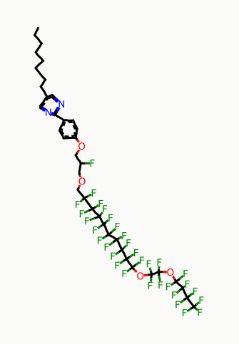 CCCCCCCCc1cnc(-c2ccc(OCC(F)COCC(F)(F)C(F)(F)C(F)(F)C(F)(F)C(F)(F)C(F)(F)C(F)(F)C(F)(F)C(F)(F)OC(F)(F)C(F)(F)OC(F)(F)C(F)(F)C(F)(F)C(F)(F)F)cc2)nc1